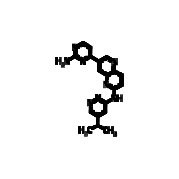 CC(C)c1cnnc(Nc2ccc3ncc(-c4ccnc(N)n4)cc3n2)c1